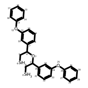 [SiH3]CC(OC(C[SiH3])c1cccc(Oc2ccccc2)c1)c1cccc(Oc2ccccc2)c1